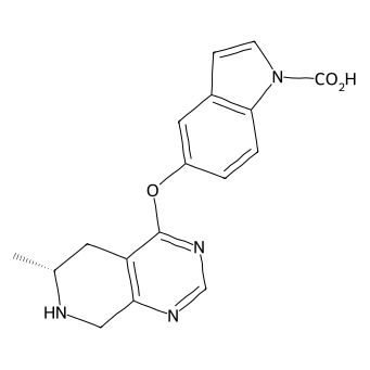 C[C@@H]1Cc2c(ncnc2Oc2ccc3c(ccn3C(=O)O)c2)CN1